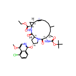 CCOC(=O)[C@@]12C[C@H]1/C=C\CCC(C)C[C@@H](C)[C@H](NC(=O)OC(C)(C)C)C(=O)N1C[C@H](Oc3ncc(OC)c4c(Cl)cccc34)C[C@H]1C(=O)N2